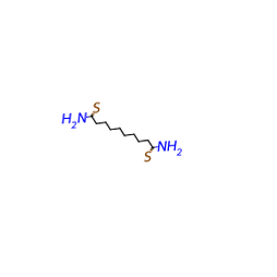 NC(=S)CCCCCCCCC(N)=S